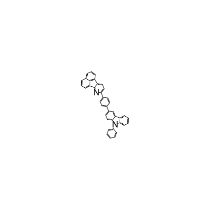 c1ccc(-n2c3ccccc3c3cc(-c4ccc(-c5ccc6c(n5)-c5cccc7cccc-6c57)cc4)ccc32)cc1